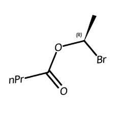 CCCC(=O)O[C@@H](C)Br